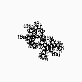 CC(C)(C)c1ccc2c(c1)-c1ccc(cc1)C(C)(CCC1(C)CCC(C)(C)c3cc4c(cc31)B1c3c(cc(C(C)(C)C)cc3-n3c5c(c6cc(C(C)(C)C)cc1c63)C(C)(C)c1ccccc1-5)N4c1ccc3c(c1)C(C)(C)CCC3(C)C)c1cc3c4c(c1)-n1c5c(c6cc(C(C)(C)C)cc(c61)B4c1ccc(C(C)(C)C)cc1N23)C(C)(C)c1ccccc1-5